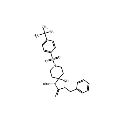 CCCCN1C(=O)C(Cc2ccccc2)NC12CCN(S(=O)(=O)c1ccc(C(C)(C)CC)cc1)CC2